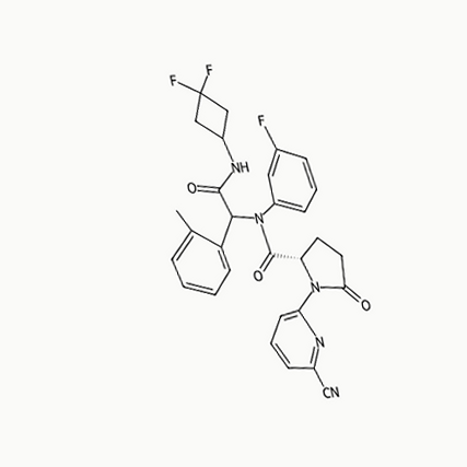 Cc1ccccc1C(C(=O)NC1CC(F)(F)C1)N(C(=O)[C@@H]1CCC(=O)N1c1cccc(C#N)n1)c1cccc(F)c1